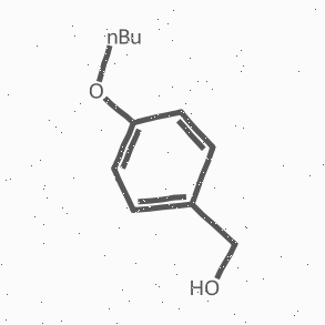 CCCCOc1ccc(CO)cc1